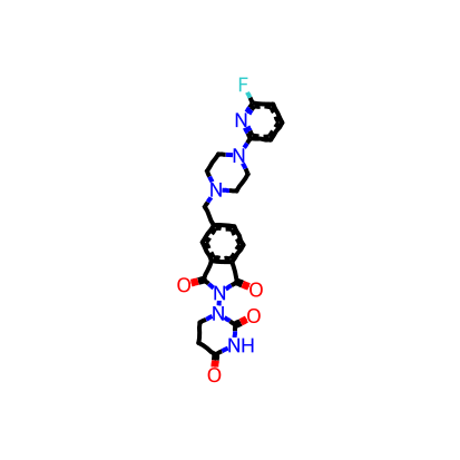 O=C1CCN(N2C(=O)c3ccc(CN4CCN(c5cccc(F)n5)CC4)cc3C2=O)C(=O)N1